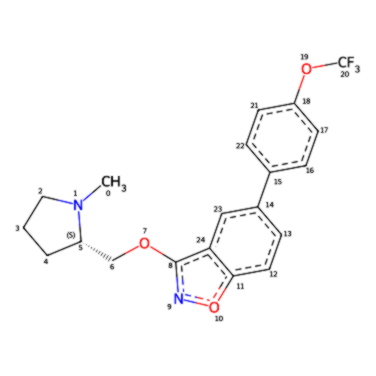 CN1CCC[C@H]1COc1noc2ccc(-c3ccc(OC(F)(F)F)cc3)cc12